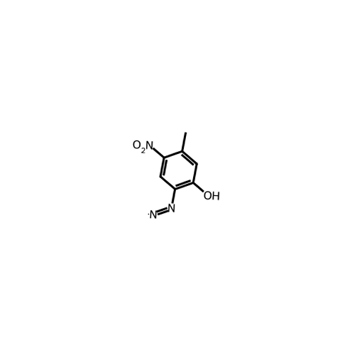 Cc1cc(O)c(N=[N])cc1[N+](=O)[O-]